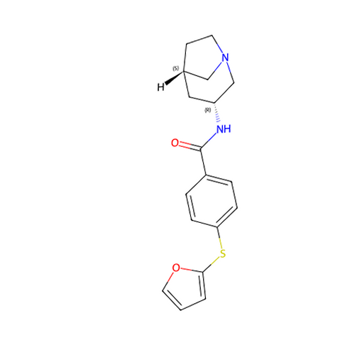 O=C(N[C@@H]1C[C@@H]2CCN(C2)C1)c1ccc(Sc2ccco2)cc1